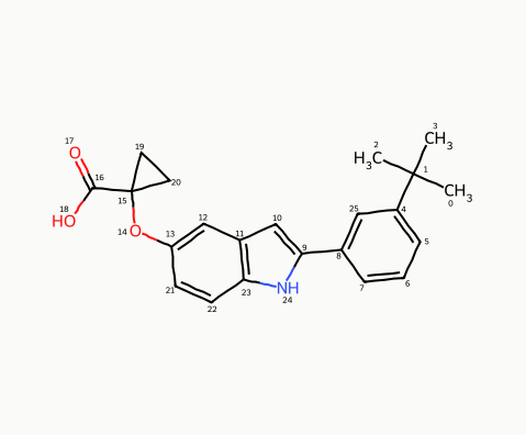 CC(C)(C)c1cccc(-c2cc3cc(OC4(C(=O)O)CC4)ccc3[nH]2)c1